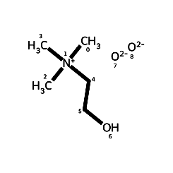 C[N+](C)(C)CCO.[O-2].[O-2]